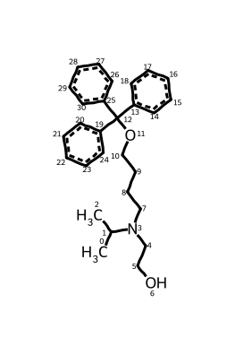 CC(C)N(CCO)CCCCOC(c1ccccc1)(c1ccccc1)c1ccccc1